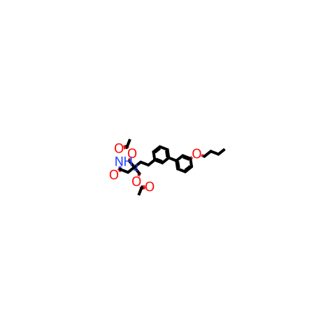 CCCCOc1cccc(-c2cccc(CCC(COC(C)=O)(COC(C)=O)CC(N)=O)c2)c1